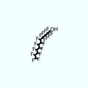 OC(F)(F)C(F)(F)C(F)(F)C(F)(F)C(F)C(F)C(F)C(F)C(F)C(F)C(F)C(F)F